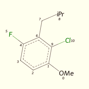 COc1ccc(F)c(CC(C)C)c1Cl